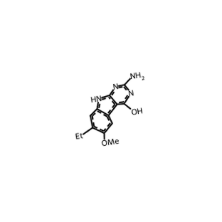 CCc1cc2[nH]c3nc(N)nc(O)c3c2cc1OC